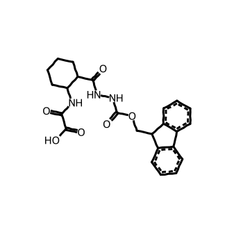 O=C(NNC(=O)C1CCCCC1NC(=O)C(=O)O)OCC1c2ccccc2-c2ccccc21